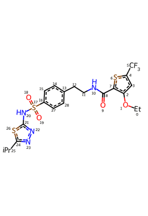 CCOc1cc(C(F)(F)F)sc1C(=O)NCCc1ccc(S(=O)(=O)Nc2nnc(C(C)C)s2)cc1